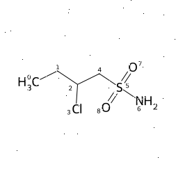 CCC(Cl)CS(N)(=O)=O